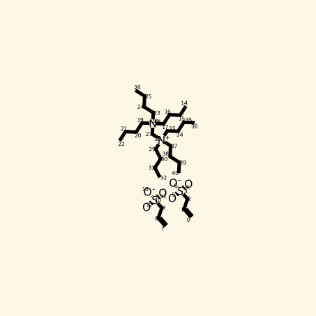 C=CCS(=O)(=O)[O-].C=CCS(=O)(=O)[O-].CCCC[N+](CCCC)(CCCC)C[N+](CCCC)(CCCC)CCCC